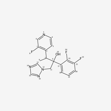 CC(c1ccncc1F)C(O)(Cn1cncn1)c1cccc(F)c1F